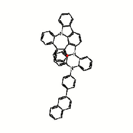 c1ccc(N(c2ccc(-c3ccc4ccccc4c3)cc2)c2ccccc2-n2c3cccc4c5ccccc5n5c6ccccc6c6ccc2c(c43)c65)cc1